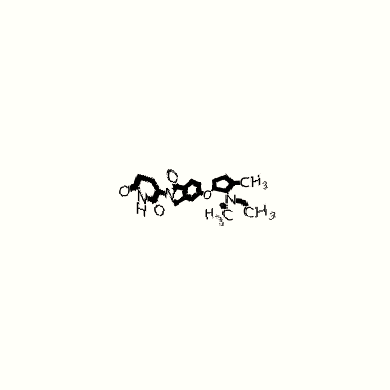 CCN(CC)[C@H]1C(C)CC[C@@H]1Oc1ccc2c(c1)CN(C1CCC(=O)NC1=O)C2=O